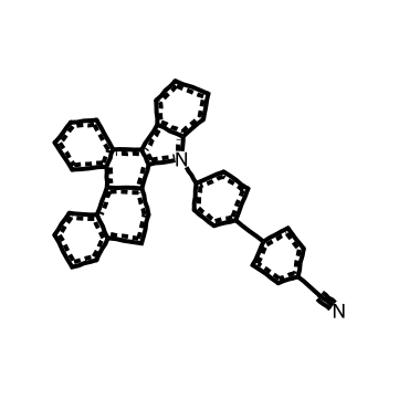 N#Cc1ccc(-c2ccc(-n3c4ccccc4c4c5ccccc5c5c6ccccc6ccc5c43)cc2)cc1